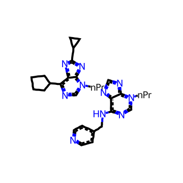 CCCn1cnc(C2CCCC2)c2nc(C3CC3)nc1-2.CCCn1cnc(NCc2ccncc2)c2ncnc1-2